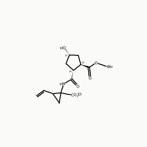 C=CC1CC1(NC(=O)[C@@H]1C[C@H](O)C[C@H]1C(=O)OC(C)(C)C)C(=O)OCC